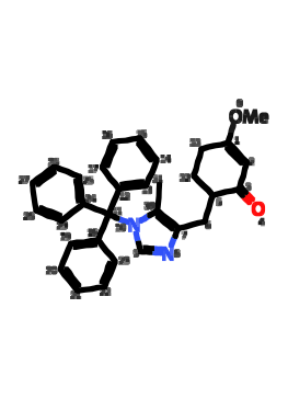 COC1=CC(=O)C(Cc2ncn(C(c3ccccc3)(c3ccccc3)c3ccccc3)c2C)CC1